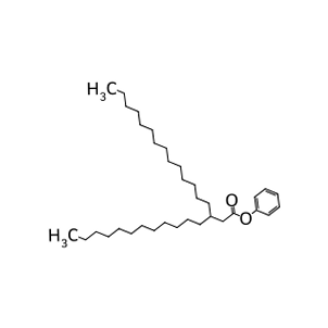 CCCCCCCCCCCCCCC(CCCCCCCCCCCC)CC(=O)Oc1ccccc1